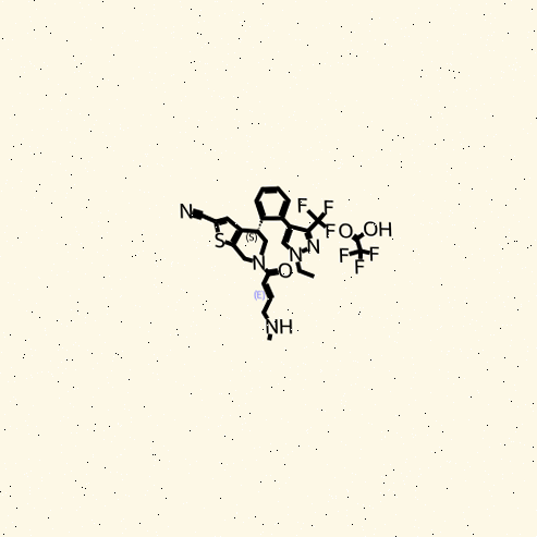 CCn1cc(-c2ccccc2[C@@H]2CN(C(=O)/C=C/CNC)Cc3sc(C#N)cc32)c(C(F)(F)F)n1.O=C(O)C(F)(F)F